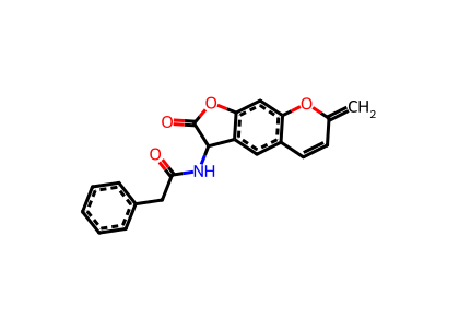 C=C1C=Cc2cc3c(cc2O1)OC(=O)C3NC(=O)Cc1ccccc1